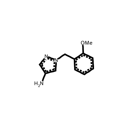 COc1ccccc1Cn1cc(N)cn1